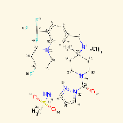 CN(Cc1ccc(C(F)(F)F)c(N2CCC(F)CC2)c1)C1(C)CCN(C(=O)n2ccc(NS(C)(=O)=O)n2)CC1